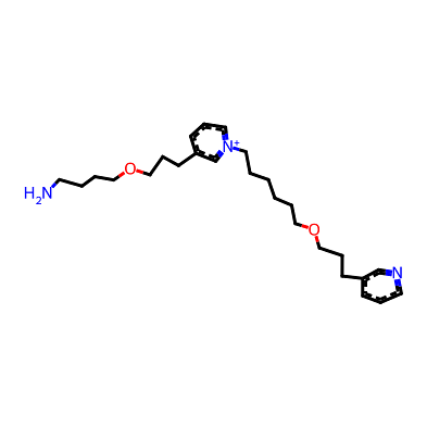 NCCCCOCCCc1ccc[n+](CCCCCCOCCCc2cccnc2)c1